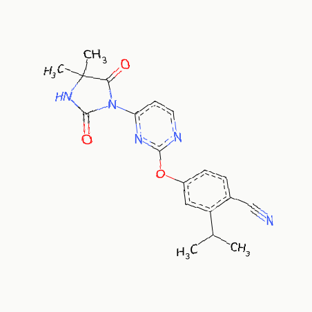 CC(C)c1cc(Oc2nccc(N3C(=O)NC(C)(C)C3=O)n2)ccc1C#N